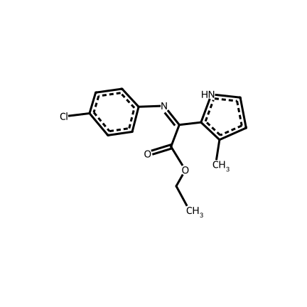 CCOC(=O)C(=Nc1ccc(Cl)cc1)c1[nH]ccc1C